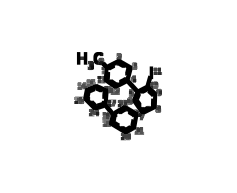 Cc1ccc(-c2ccccc2I)cc1.c1ccc(-c2ccccc2)cc1